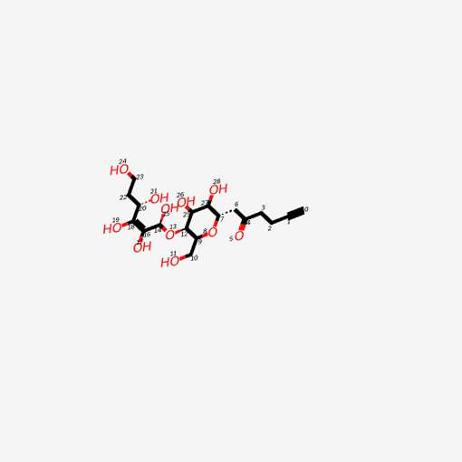 C#CCCC(=O)C[C@@H]1OC(CO)[C@@H](O[C@H](O)/C(O)=C(/O)[C@@H](O)CCO)C(O)C1O